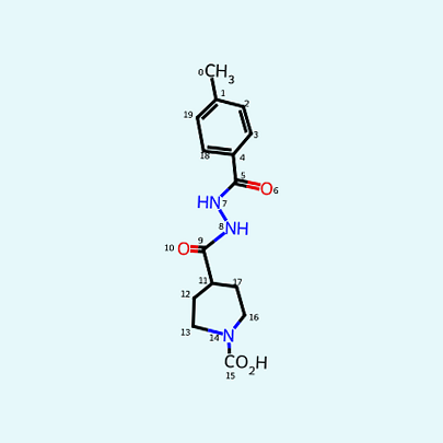 Cc1ccc(C(=O)NNC(=O)C2CCN(C(=O)O)CC2)cc1